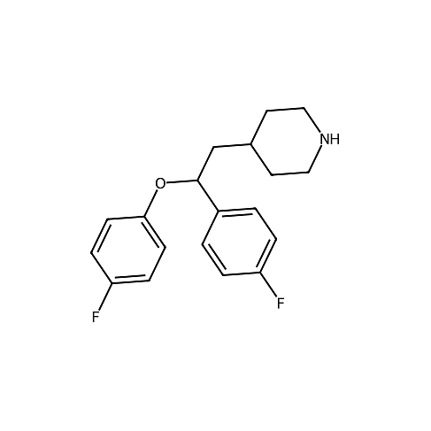 Fc1ccc(OC(CC2CCNCC2)c2ccc(F)cc2)cc1